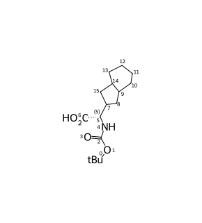 CC(C)(C)OC(=O)N[C@H](C(=O)O)C1CC2CCCCC2C1